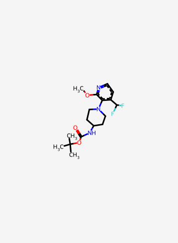 COc1nccc(C(F)F)c1N1CCC(NC(=O)OC(C)(C)C)CC1